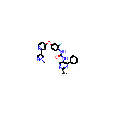 Cn1cc(-c2cc(Oc3ccc(NC(=O)Nc4cnc(C(C)(C)C)nc4-c4ccccc4)c(F)c3)ccn2)cn1